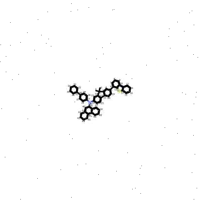 CC1(C)c2cc(-c3cccc4c3sc3ccccc34)ccc2-c2ccc(N(c3ccc(-c4ccccc4)cc3)c3cc4ccccc4c4ccccc34)cc21